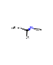 CCCCCC(CC)=NOC(C)=O